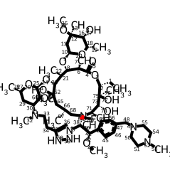 CC[C@H]1OC(=O)[C@H](C)[C@@H](O[C@H]2C[C@@](C)(OC)[C@@H](O)[C@H](C)O2)[C@H](C)[C@@H](O[C@@H]2O[C@H](C)C[C@H](N(C)CCC3=CN([C@H](CF)[C@H](OC)c4ccc(CN5CCN(C)CC5)cc4)NN3)[C@H]2O)[C@](C)(O)C[C@@H](C)CN(C)[C@H](C)[C@@H](O)[C@]1(C)O